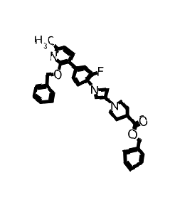 Cc1ccc(-c2ccc(N3CC(N4CCC(C(=O)OCc5ccccc5)CC4)C3)c(F)c2)c(OCc2ccccc2)n1